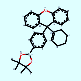 CC1(C)OB(c2ccc(C3(C4=CCCCC4)c4ccccc4Oc4ccccc43)cc2)OC1(C)C